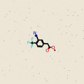 COC(=O)Cc1ccc(C(F)(F)F)c(C#N)c1